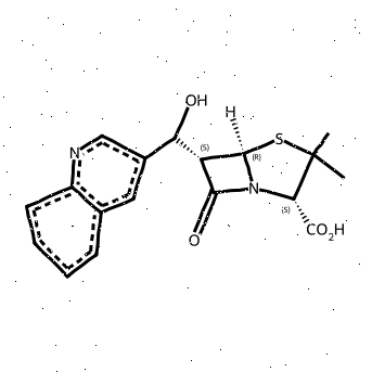 CC1(C)S[C@@H]2[C@@H](C(O)c3cnc4ccccc4c3)C(=O)N2[C@H]1C(=O)O